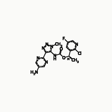 C[C@@H](OC(=O)Nc1c(-c2ncc(N)cn2)nnn1C)c1cc(F)cnc1Cl